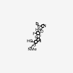 CNCCCOc1cc2nccc(Oc3c(F)cc(NC(=O)c4cnccc4OC4CCC4)cc3F)c2cc1CO